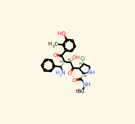 Cc1c(O)cccc1C(=O)[C@@H](C(N)c1ccccc1)[C@H](O)C(=O)C1[C@H](Cl)CN[C@@H]1C(=O)NC(C)(C)C